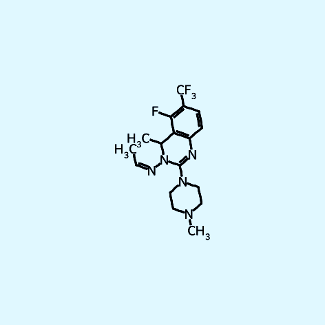 C/C=N\N1C(N2CCN(C)CC2)=Nc2ccc(C(F)(F)F)c(F)c2C1C